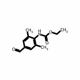 CCOC(=O)Nc1c(C)cc(C=O)cc1C